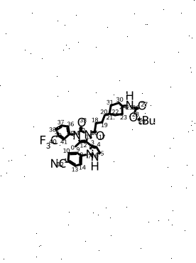 Cc1c(C2=CCNN2c2ccc(C#N)cc2)n(C(=O)CCCC2CCC(NC(=O)OC(C)(C)C)CC2)c(=O)n1-c1cccc(C(F)(F)F)c1